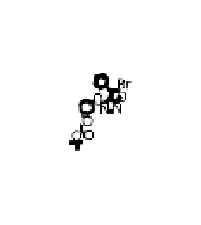 CC(C)(C)OC(=O)CO[C@@H]1CCC[C@H](Oc2ncnc3oc(Br)c(-c4ccccc4)c23)C1